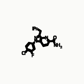 CC(C)Cc1nn(-c2ccc(Cl)c(F)c2)c2ccc(C(N)=O)nc12